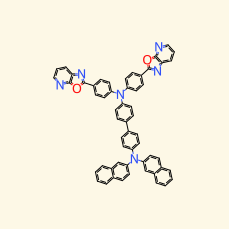 c1ccc2cc(N(c3ccc(-c4ccc(N(c5ccc(-c6nc7cccnc7o6)cc5)c5ccc(-c6nc7cccnc7o6)cc5)cc4)cc3)c3ccc4ccccc4c3)ccc2c1